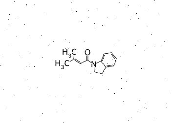 CC(C)=CC(=O)N1CCc2ccccc21